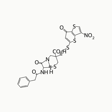 O=C(Cc1ccccc1)NC1C(=O)N2CC(C=CSc3cc(=O)c4scc([N+](=O)[O-])c4s3)(C(=O)O)CS[C@H]12